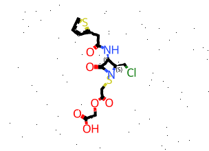 O=C(O)COC(=O)CSN1C(=O)[C@@H](NC(=O)Cc2cccs2)[C@H]1CCl